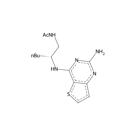 CCCC[C@H](CNC(C)=O)Nc1nc(N)nc2ccsc12